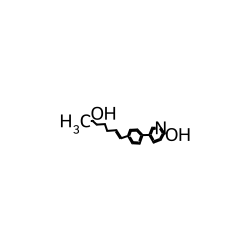 CC(O)CCCC=Cc1ccc(-c2ccc(O)nc2)cc1